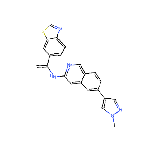 C=C(Nc1cc2cc(-c3cnn(C)c3)ccc2cn1)c1ccc2ncsc2c1